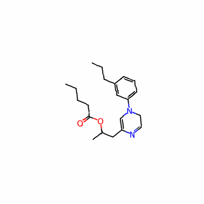 CCCCC(=O)OC(C)CC1=CN(c2cccc(CCC)c2)CC=N1